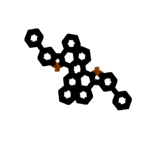 c1ccc(-c2ccc3sc(-c4c5ccccc5c(-c5sc6ccc(-c7ccccc7)cc6c5-c5ccccc5)c5cc6ccccc6cc45)c(-c4ccccc4)c3c2)cc1